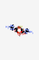 COP1(=O)OC[C@H]2O[C@@H](n3cnc4c(N)ncnc43)C[C@@H]2OP(=O)(S)OC[C@H]2O[C@@H](n3cnc4c(N)ncnc43)[C@H](O)[C@@H]2O1